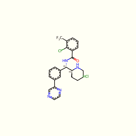 Cl.O=C(N[C@@H](c1cccc(-c2cnccn2)c1)[C@@H]1CCCCN1)c1cccc(C(F)(F)F)c1Cl